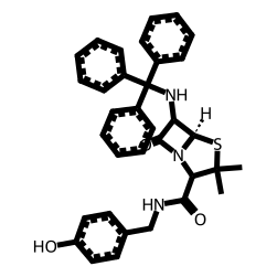 CC1(C)S[C@@H]2C(NC(c3ccccc3)(c3ccccc3)c3ccccc3)C(=O)N2C1C(=O)NCc1ccc(O)cc1